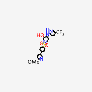 COc1ccc(-c2ccc(S(=O)(=O)N3CC[C@@H](Nc4ccc(C(F)(F)F)cn4)[C@@H](O)C3)cc2)cn1